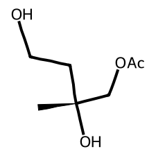 CC(=O)OC[C@](C)(O)CCO